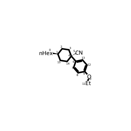 CCCCCC[C@H]1CC[C@@](C#N)(c2ccc(OCC)cc2)CC1